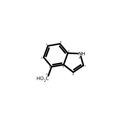 O=C(O)c1cccc2[nH][c]cc12